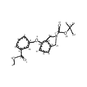 COC(=O)c1cccc(Oc2cccc3c2CN(C(=O)OC(C)(C)C)C3)c1